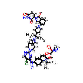 CNC(=O)COc1cc2cc(Nc3nc(N4CCC5(CC4)CN(C(C)(C)C4CCN(c6cccc7c6CN(C6CCC(=O)NC6=O)C7=O)CC4)C5)ncc3Cl)ccc2n(C(C)C)c1=O